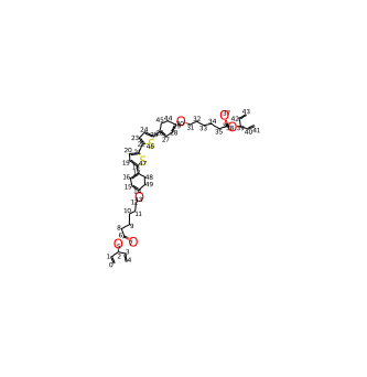 C=CC(C=C)OC(=O)CCCCCOC1=CC=C(c2ccc(-c3ccc(C4=CC=C(OCCCCCC(=O)OC(C=C)C=C)CC4)s3)s2)CC1